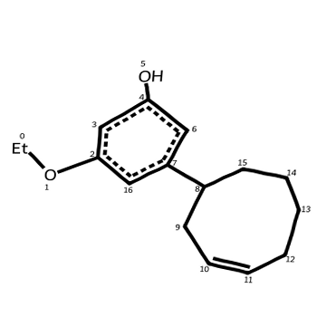 CCOc1cc(O)cc(C2CC=CCCCC2)c1